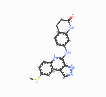 CSc1ccc2nc(Nc3ccc4c(c3)NC(=O)CC4)c3[nH]ncc3c2c1